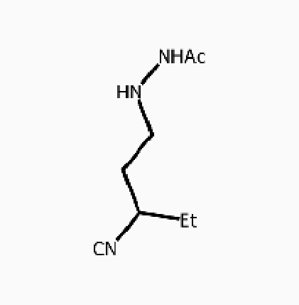 [C-]#[N+]C(CC)CCNNC(C)=O